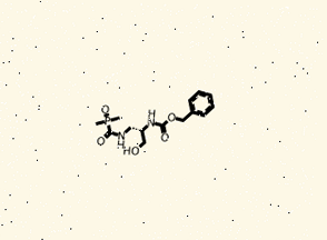 CP(C)(=O)C(=O)NC[C@@H](CO)NC(=O)OCc1ccccc1